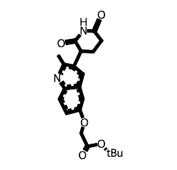 Cc1nc2ccc(OCC(=O)OC(C)(C)C)cc2cc1C1CCC(=O)NC1=O